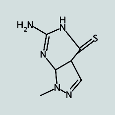 CN1N=CC2C(=S)NC(N)=NC21